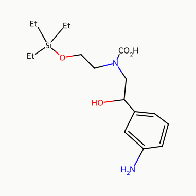 CC[Si](CC)(CC)OCCN(CC(O)c1cccc(N)c1)C(=O)O